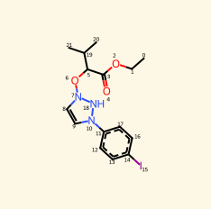 CCOC(=O)C(ON1C=CN(c2ccc(I)cc2)N1)C(C)C